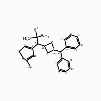 CC(C)(F)C(C1=C[CH]CC(F)=C1)C1CN(C(c2ccccc2)c2ccccc2)C1